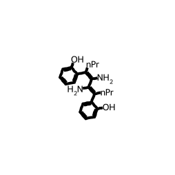 CCCC(=C(N)C(N)=C(CCC)c1ccccc1O)c1ccccc1O